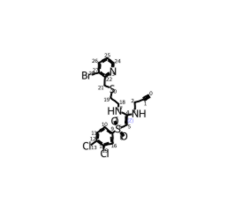 C#CCN/C(=C/S(=O)(=O)c1ccc(Cl)c(Cl)c1)NCCSCc1ncccc1Br